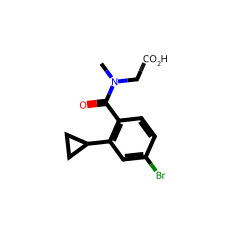 CN(CC(=O)O)C(=O)c1ccc(Br)cc1C1CC1